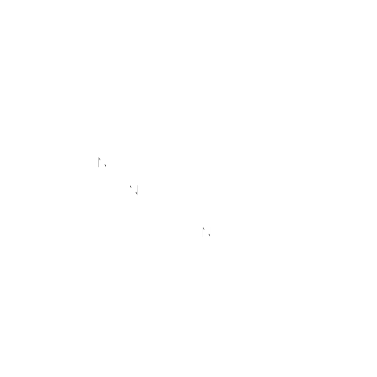 CCc1nccn2nccc12